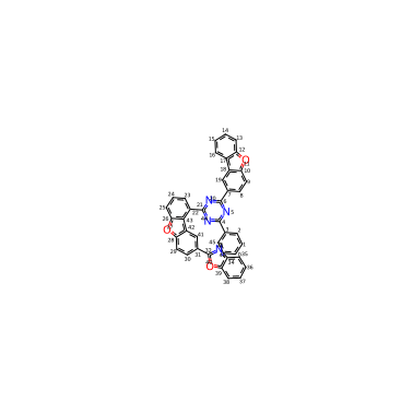 c1ccc(-c2nc(-c3ccc4oc5ccccc5c4c3)nc(-c3cccc4oc5ccc(-c6nc7ccccc7o6)cc5c34)n2)cc1